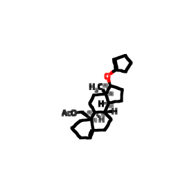 CC(=O)OC[C@]12CCCC=C1CC[C@@H]1[C@@H]2CC[C@]2(C)[C@@H](OC3=CCCC3)CC[C@@H]12